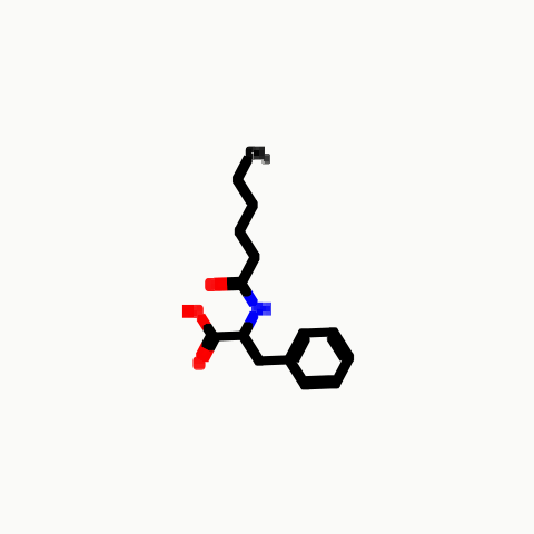 CCCCCC(=O)NC(Cc1ccccc1)C(=O)O